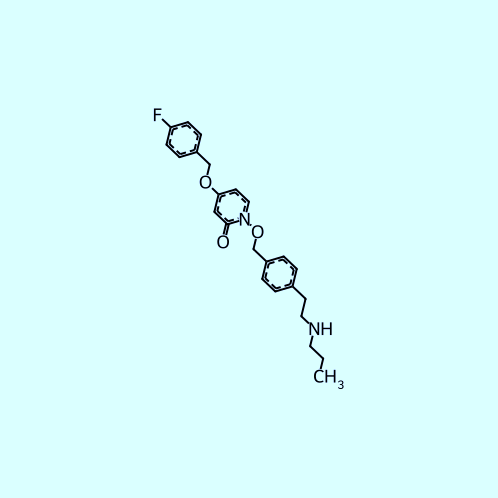 CCCNCCc1ccc(COn2ccc(OCc3ccc(F)cc3)cc2=O)cc1